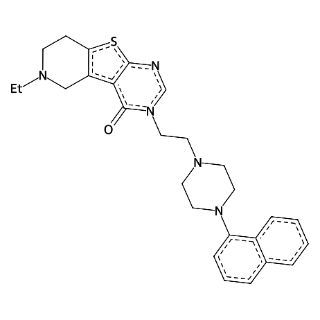 CCN1CCc2sc3ncn(CCN4CCN(c5cccc6ccccc56)CC4)c(=O)c3c2C1